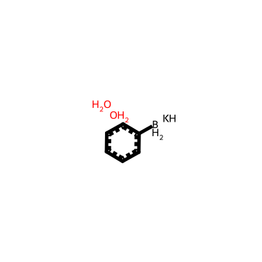 Bc1ccccc1.O.O.[KH]